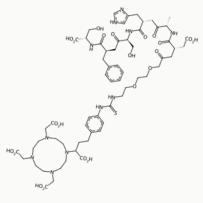 C[C@H](NC(=O)[C@H](CC(=O)O)CC(=O)COCCOCCNC(=S)Nc1ccc(CCC(C(=O)O)N2CCN(CC(=O)O)CCN(CC(=O)O)CCN(CC(=O)O)CC2)cc1)C(=O)C[C@@H](Cc1c[nH]cn1)C(=O)N[C@@H](CO)C(=O)C[C@@H](Cc1ccccc1)C(=O)N[C@@H](CO)C(=O)O